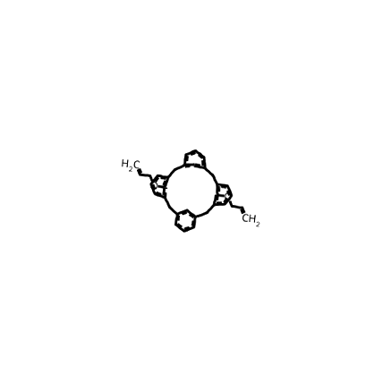 C=CCOc1c2cccc1Cc1cccc(c1)Cc1cccc(c1OCC=C)Cc1cccc(c1)C2